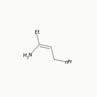 CCCCC=C(N)CC